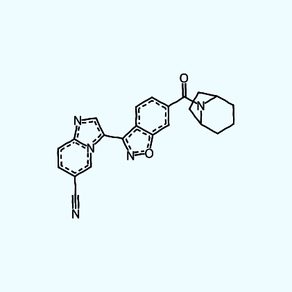 N#Cc1ccc2ncc(-c3noc4cc(C(=O)N5C6CCCC5CC6)ccc34)n2c1